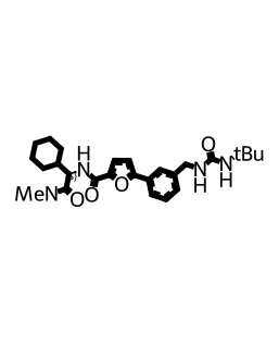 CNC(=O)[C@@H](NC(=O)c1ccc(-c2cccc(CNC(=O)NC(C)(C)C)c2)o1)C1CCCCC1